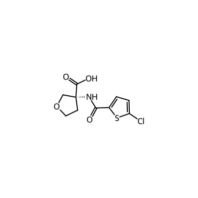 O=C(N[C@]1(C(=O)O)CCOC1)c1ccc(Cl)s1